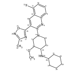 COC1CN(c2nc3cccc(F)c3cc2-c2nc(C)no2)CCC1NC1CCCCC1